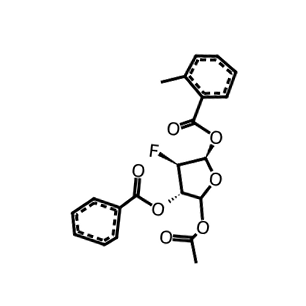 CC(=O)OC1O[C@H](OC(=O)c2ccccc2C)[C@H](F)[C@H]1OC(=O)c1ccccc1